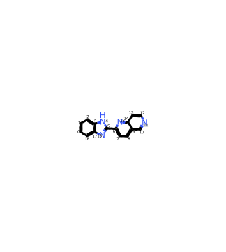 c1ccc2[nH]c(-c3ccc4cnccc4n3)nc2c1